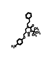 CC(C)(C)OC(=O)N(CCc1ccccc1)C[C@H](O)COc1ccc(N)cc1